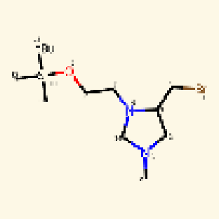 CN1CC(CBr)N(CCO[Si](C)(C)C(C)(C)C)C1